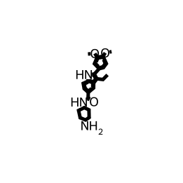 CCc1c(-c2ccc(OC)c(OC)c2)[nH]c2ccc(C(=O)N[C@H]3CC[C@H](N)CC3)cc12